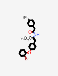 CC(C)c1ccc(CC(=O)N/C(=C/c2ccc(Oc3ccccc3Br)cc2)C(=O)O)cc1